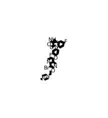 CN1CCN(CCOc2ncc3c(Oc4ccc(N(C(=O)C5(C(N)=O)CC5)c5ccc(F)cc5)cc4F)ccnc3c2Br)CC1